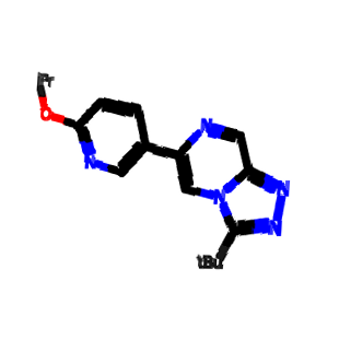 CC(C)Oc1ccc(-c2cn3c(C(C)(C)C)nnc3cn2)cn1